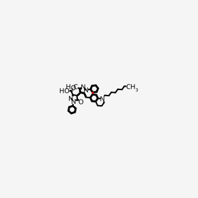 CCCCCCCCN1CCCc2cc(/C=c3/c(=C4\C(=O)N(c5ccccc5)N=C4C(=O)O)c(C)nn3-c3ccccc3)ccc21